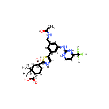 CC(=O)NCc1cc(Nc2nccc(C(F)(F)F)n2)cc(-c2cnc([C@@]3(O)CC[C@H](C(=O)O)C(C)(C)C3)s2)c1